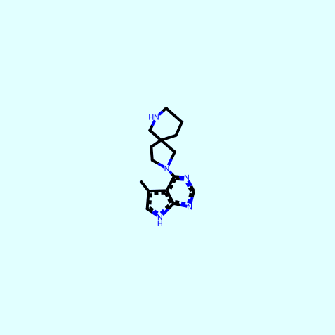 Cc1c[nH]c2ncnc(N3CCC4(CCCNC4)C3)c12